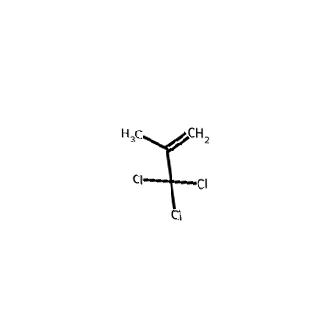 C=C(C)C(Cl)(Cl)Cl